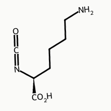 NCCCC[C@H](N=C=O)C(=O)O